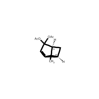 CC(=O)OC1(OC(C)=O)C=C2[C@@H]3C[C@H]1C23C